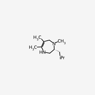 CC1=C(C)NC[C@@H](CC(C)C)N(C)C1